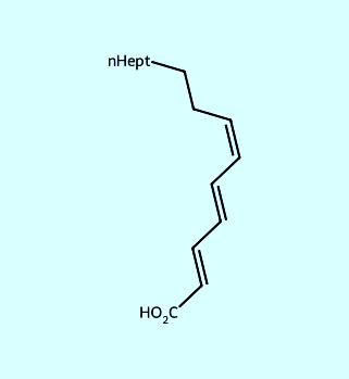 CCCCCCCCC\C=C/C=C/C=C/C(=O)O